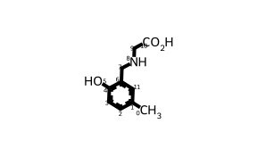 Cc1ccc(O)c(CNCC(=O)O)c1